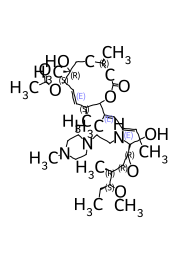 CC[C@H](OC)[C@@H](C)[C@H]1O[C@@H]1C(NCCN1CCN(C)CC1)C(C)(O)/C=C/C=C(\C)C1OC(=O)C[C@H](C)CC[C@@](C)(O)[C@@H](OC(C)=O)/C=C/[C@@H]1C